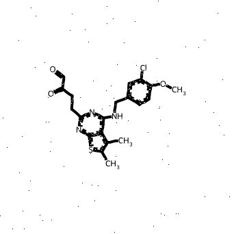 COc1ccc(CNc2nc(CCC(=O)C=O)nc3sc(C)c(C)c23)cc1Cl